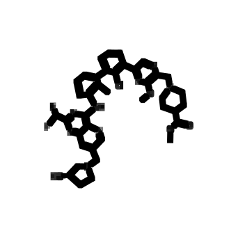 COC(=O)C1CCN(Cc2ncc(-c3cccc(-c4cccc(Nc5nc(C(F)F)nc6cc(CN7CC[C@@H](O)C7)cnc56)c4C)c3Cl)nc2OC)CC1